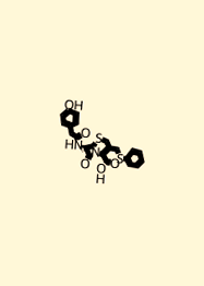 O=C(Cc1ccc(O)cc1)N[C@@H]1C(=O)N2C(C(=O)O)=C(CSc3ccccc3)CSC12